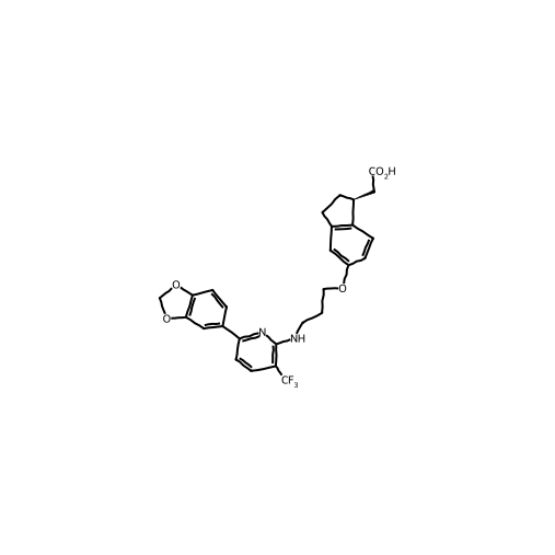 O=C(O)C[C@@H]1CCc2cc(OCCCNc3nc(-c4ccc5c(c4)OCO5)ccc3C(F)(F)F)ccc21